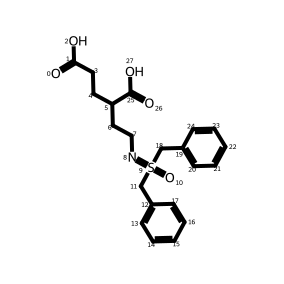 O=C(O)CCC(CCN=S(=O)(Cc1ccccc1)Cc1ccccc1)C(=O)O